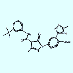 COc1ccc(N2N=C(C)C(C(=O)Nc3cccc(C(C)(F)F)c3)C2=O)cc1-c1nnc(C)[nH]1